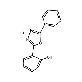 Oc1ccccc1-c1nnc(-c2ccccc2)o1.[LiH]